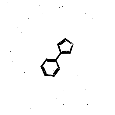 [c]1ccc(-c2ccsc2)cc1